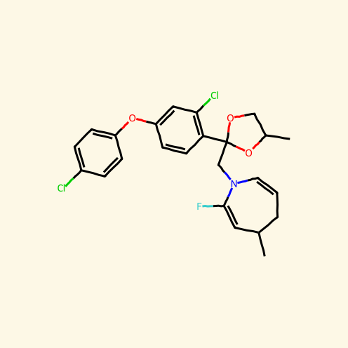 CC1C=C(F)N(CC2(c3ccc(Oc4ccc(Cl)cc4)cc3Cl)OCC(C)O2)C=CC1